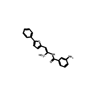 Nc1cccc(C(=O)N/C(=C/c2ccc(-c3ccccc3)o2)C(=O)O)c1